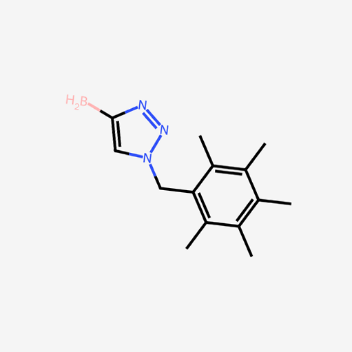 Bc1cn(Cc2c(C)c(C)c(C)c(C)c2C)nn1